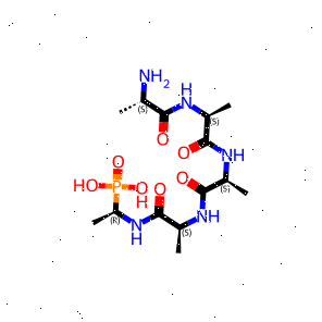 C[C@H](N)C(=O)N[C@@H](C)C(=O)N[C@@H](C)C(=O)N[C@@H](C)C(=O)N[C@@H](C)P(=O)(O)O